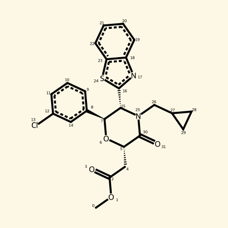 COC(=O)C[C@@H]1O[C@@H](c2cccc(Cl)c2)[C@H](c2nc3ccccc3s2)N(CC2CC2)C1=O